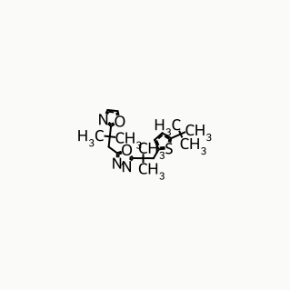 CC(C)(C)c1ccc(CC(C)(C)c2nnc(CC(C)(C)c3ncco3)o2)s1